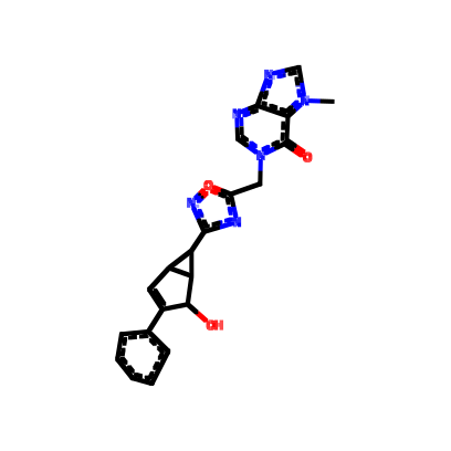 Cn1cnc2ncn(Cc3nc(C4C5C=C(c6ccccc6)C(O)C54)no3)c(=O)c21